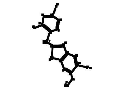 CC(=O)Cc1cc2oc(Nc3ccc(F)cc3C)nc2cc1F